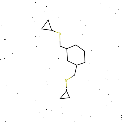 C1CC(CSC2CC2)CC(CSC2CC2)C1